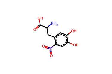 NC(Cc1cc(O)c(O)cc1I(=O)=O)C(=O)O